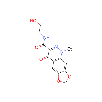 CCn1nc(C(=O)NCCO)c(=O)c2cc3c(cc21)OCO3